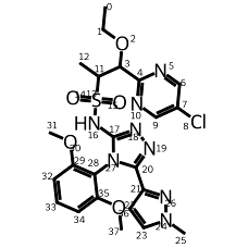 CCOC(c1ncc(Cl)cn1)C(C)S(=O)(=O)Nc1nnc(-c2ccn(C)n2)n1-c1c(OC)cccc1OC